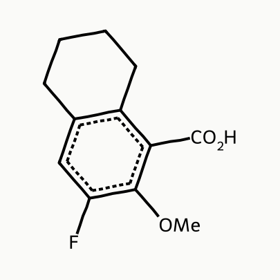 COc1c(F)cc2c(c1C(=O)O)CCCC2